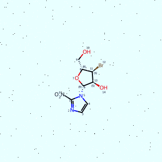 O=[N+]([O-])c1nccn1[C@@H]1O[C@H](CO)[C@@H](Br)[C@H]1O